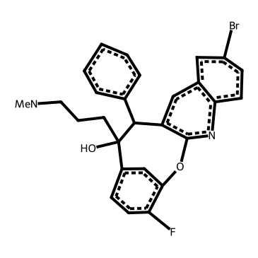 CNCCCC1(O)c2ccc(F)c(c2)Oc2nc3ccc(Br)cc3cc2C1c1ccccc1